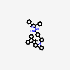 CC1(C)c2c(c3ccccc3c3ccccc23)-c2ccc3c4ccccc4n(-c4cccc(-c5ccc(C(=N)NC6C(c7ccccc7)=CC7(c8ccccc8)CN67)cc5)c4)c3c21